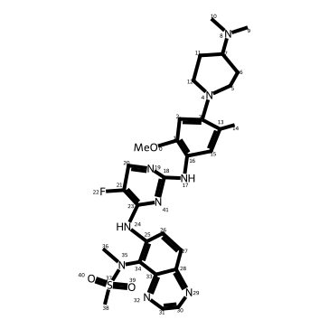 COc1cc(N2CCC(N(C)C)CC2)c(C)cc1Nc1ncc(F)c(Nc2ccc3nccnc3c2N(C)S(C)(=O)=O)n1